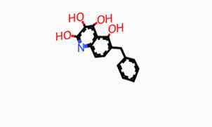 Oc1nc2ccc(Cc3ccccc3)c(O)c2c(O)c1O